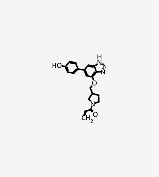 C=CC(=O)N1CCC(COc2cc(-c3ccc(O)cc3)cc3[nH]nnc23)C1